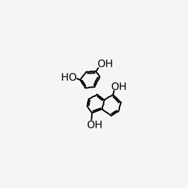 Oc1cccc(O)c1.Oc1cccc2c(O)cccc12